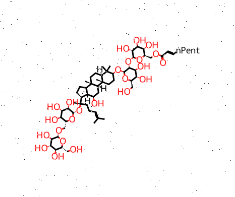 CCCCC/C=C/C(=O)OC[C@H]1O[C@@H](O[C@H]2[C@H](O[C@H]3CC[C@]4(C)[C@H]5C[C@@H](O)[C@@H]6[C@@H]([C@](C)(CCC=C(C)C)O[C@@H]7O[C@H](CO[C@@H]8O[C@H](CO)[C@@H](O)[C@H](O)[C@H]8O)[C@@H](O)[C@H](O)[C@H]7O)CC[C@@]6(C)[C@]5(C)CC[C@H]4C3(C)C)O[C@H](CO)[C@@H](O)[C@@H]2O)[C@H](O)[C@@H](O)[C@@H]1O